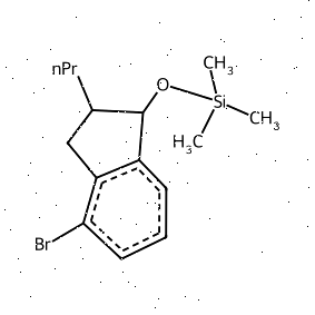 CCCC1Cc2c(Br)cccc2C1O[Si](C)(C)C